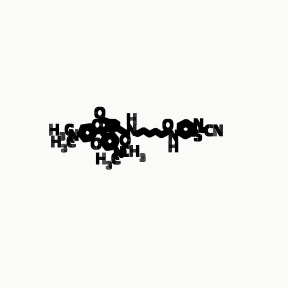 CN(C)c1ccc2c(c1)Oc1cc(N(C)C)ccc1C21OC(=O)c2ccc(C(=O)NCCCCCC(=O)Nc3ccc4nc(C#N)sc4c3)cc21